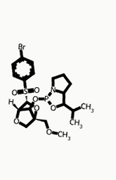 COC[C@@]12CO[C@@H](C1OP1OC(C(C)C)C3CCCN31)[C@H](S(=O)(=O)c1ccc(Br)cc1)O2